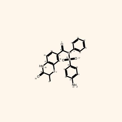 CC1Sc2cc(C(=O)N(c3ccccc3)S(=O)(=O)c3ccc(N)cc3)ccc2NC1=O